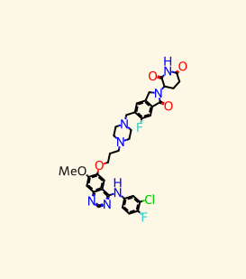 COc1cc2ncnc(Nc3ccc(F)c(Cl)c3)c2cc1OCCCN1CCN(Cc2cc3c(cc2F)C(=O)N(C2CCC(=O)NC2=O)C3)CC1